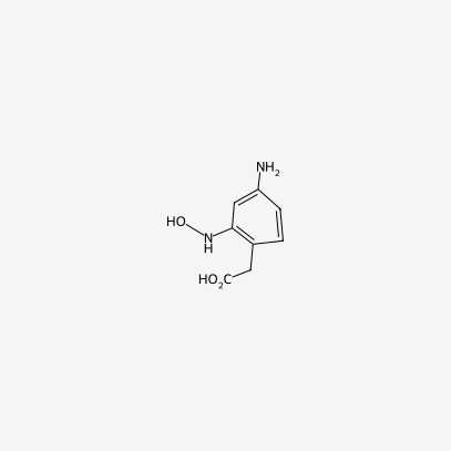 Nc1ccc(CC(=O)O)c(NO)c1